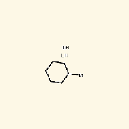 CCC1CCCCC1.[LiH].[LiH]